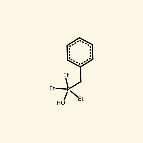 CCP(O)(CC)(CC)Cc1ccccc1